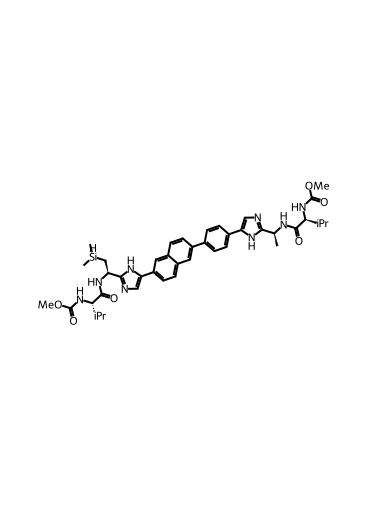 COC(=O)N[C@H](C(=O)N[C@@H](C)c1ncc(-c2ccc(-c3ccc4cc(-c5cnc([C@H](C[SiH](C)C)NC(=O)[C@@H](NC(=O)OC)C(C)C)[nH]5)ccc4c3)cc2)[nH]1)C(C)C